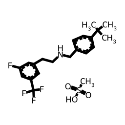 CC(C)(C)c1ccc(CNCCc2cc(F)cc(C(F)(F)F)c2)cc1.CS(=O)(=O)O